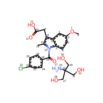 COc1ccc2c(c1)c(CC(=O)O)c(C)n2C(=O)c1ccc(Cl)cc1.NC(CO)(CO)CO